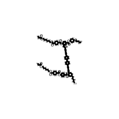 C=CC(=O)OCCCCCCOC(=O)C1CCC(C(=O)Oc2ccc(C(=O)OC3(C#CC#Cc4ccc(-c5ccc(C#CC#Cc6cc7c(OC(=O)C8CCC(C(=O)OCCCCCCOC(=O)C=C)CC8)ccc(C(=O)OC8CCC(OCCCC)CC8)c7s6)cc5)cc4)CCC(CCCCC)CC3)cc2)CC1